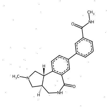 CNC(=O)c1cccc(-c2ccc3c(c2)C(=O)NC[C@H]2CN(C)C[C@H]32)c1